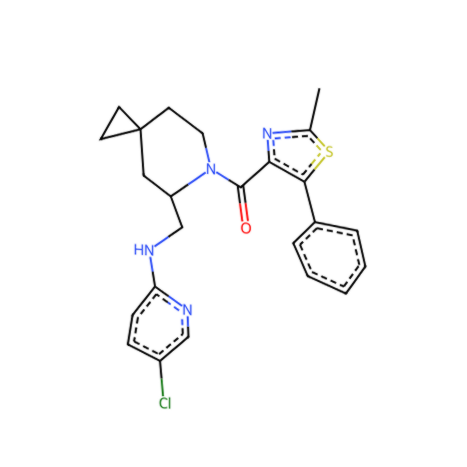 Cc1nc(C(=O)N2CCC3(CC3)CC2CNc2ccc(Cl)cn2)c(-c2ccccc2)s1